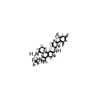 COc1cc(F)cc(F)c1-c1nccc(Nc2cc(N3CCC[C@H](N)C3)c(-c3cnn(CC(F)(F)F)c3)cn2)n1